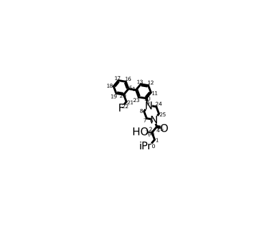 CC(C)C[C@@H](O)C(=O)N1CCN(c2cccc(-c3ccccc3CF)c2)CC1